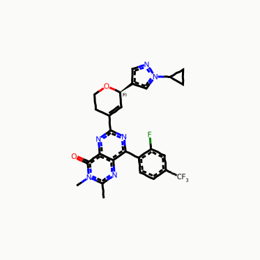 Cc1nc2c(-c3ccc(C(F)(F)F)cc3F)nc(C3=C[C@H](c4cnn(C5CC5)c4)OCC3)nc2c(=O)n1C